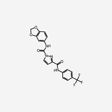 O=C(Nc1ccc(C(F)(F)F)cc1)c1ccn(C(=O)Nc2ccc3c(c2)OCO3)n1